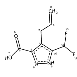 C=CCc1c(C(=O)O)n[nH]c1C(F)F